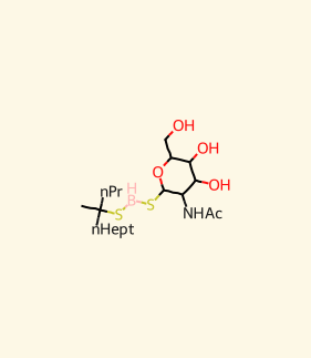 CCCCCCCC(C)(CCC)SBSC1OC(CO)C(O)C(O)C1NC(C)=O